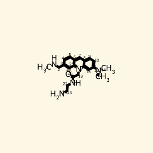 CNCc1ccc2cc3ccc(N(C)C)cc3[n+](CC(=O)NCCN)c2c1